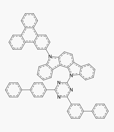 c1ccc(-c2ccc(-c3nc(-c4cccc(-c5ccccc5)c4)nc(-n4c5ccccc5c5ccc6c(c7ccccc7n6-c6ccc7c8ccccc8c8ccccc8c7c6)c54)n3)cc2)cc1